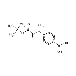 CC(NC(=O)OC(C)(C)C)c1ccc(B(O)O)cc1